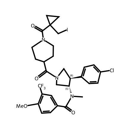 COc1ccc(C(=O)N(C)[C@@H]2CN(C(=O)C3CCN(C(=O)C4(CI)CC4)CC3)C[C@H]2c2ccc(Cl)cc2)cc1C(F)(F)F